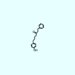 O=C(CCCCc1ccc(O)cc1)CCc1ccccc1